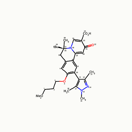 COCCCOc1cc2c(cc1-c1c(C)nn(C)c1C)-c1cc(=O)c(C(=O)O)cn1[C@](C)(C(C)(C)C)C2